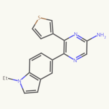 CCn1ccc2cc(-c3ncc(N)nc3-c3ccsc3)ccc21